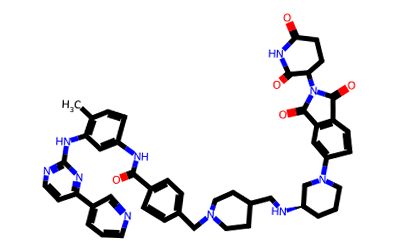 Cc1ccc(NC(=O)c2ccc(CN3CCC(CN[C@@H]4CCCN(c5ccc6c(c5)C(=O)N(C5CCC(=O)NC5=O)C6=O)C4)CC3)cc2)cc1Nc1nccc(-c2cccnc2)n1